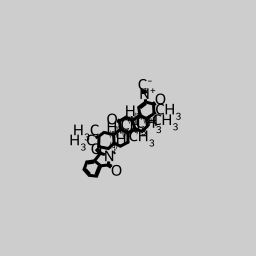 [C-]#[N+]C1=C[C@]2(C)[C@H]3CC(=O)[C@@H]4[C@@H]5CC(C)(C)CC[C@]5(CN5C(=O)c6ccccc6C5=O)CC[C@@]4(C)[C@]3(C)CC[C@H]2C(C)(C)C1=O